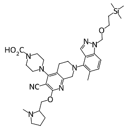 Cc1ccc2c(cnn2COCC[Si](C)(C)C)c1N1CCc2c(nc(OCC3CCCN3C)c(C#N)c2N2CCN(C(=O)O)CC2)C1